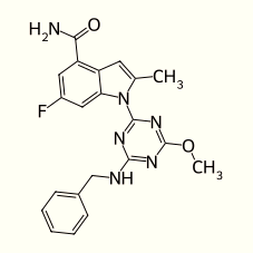 COc1nc(NCc2ccccc2)nc(-n2c(C)cc3c(C(N)=O)cc(F)cc32)n1